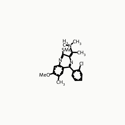 COc1cc2c(cc1C)C(c1ccccc1Cl)=NC(=C(C)N(C)C)C(SC)=N2